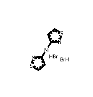 Br.Br.c1c[c]([Ni][c]2ccsn2)ns1